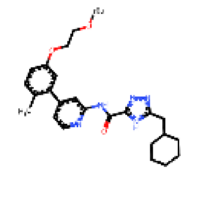 Cc1ccc(OCCOC(C)(C)C)cc1-c1ccnc(NC(=O)c2nnc(CC3CCCCC3)[nH]2)c1